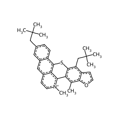 Cc1c2c(c(CC(C)(C)C)c3ccoc13)Sc1c3ccc(CC(C)(C)C)cc3cc3cc[n+](C)c-2c13